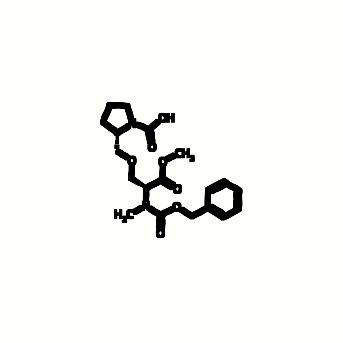 COC(=O)[C@H](COC[C@@H]1CCCN1C(=O)O)N(C)C(=O)OCc1ccccc1